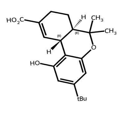 CC(C)(C)c1cc(O)c2c(c1)OC(C)(C)[C@@H]1CCC(C(=O)O)=C[C@@H]21